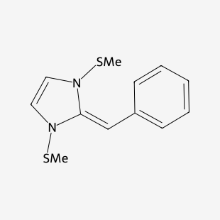 CSN1C=CN(SC)C1=Cc1ccccc1